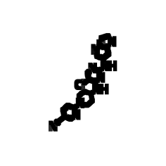 N#Cc1ccc(N2CCC(Nc3nc(Nc4cnn5ccnc5c4)ncc3Cl)CC2)nc1